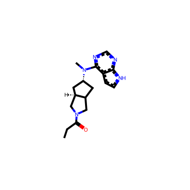 CCC(=O)N1CC2C[C@@H](N(C)c3ncnc4[nH]ccc34)C[C@@H]2C1